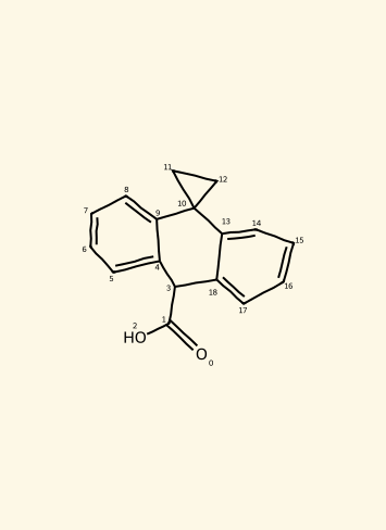 O=C(O)C1c2ccccc2C2(CC2)c2ccccc21